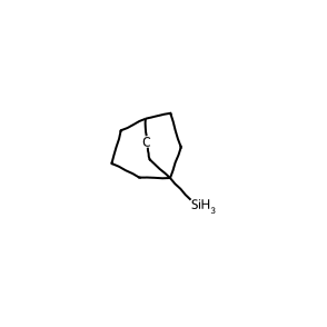 [SiH3]C12CCCC(CC1)CC2